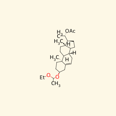 CCOC(C)O[C@H]1CC[C@]2(C)C(=CC[C@H]3[C@@H]4CC[C@H]([C@H](C)OC(C)=O)[C@@]4(C)CC[C@@H]32)C1